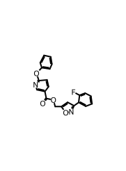 O=C(OCc1cc(-c2ccccc2F)no1)c1ccc(Oc2ccccc2)nc1